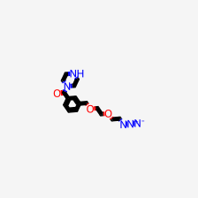 [N-]=[N+]=NCCOCCOCc1cccc(C(=O)N2CCNCC2)c1